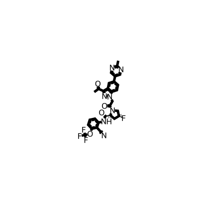 CC(=O)c1nn(CC(=O)N2C[C@H](F)C[C@H]2C(=O)Nc2cccc(OC(F)(F)F)c2C#N)c2ccc(-c3cnc(C)nc3)cc12